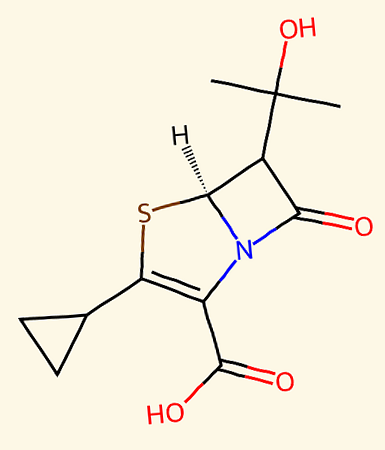 CC(C)(O)C1C(=O)N2C(C(=O)O)=C(C3CC3)S[C@@H]12